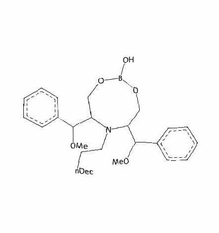 CCCCCCCCCCCCN1C(C(OC)c2ccccc2)COB(O)OCC1C(OC)c1ccccc1